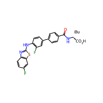 CC[C@H](C)[C@H](NC(=O)c1ccc(-c2ccc(Nc3nc4ccc(F)cc4s3)c(F)c2)cc1)C(=O)O